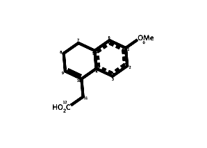 COc1ccc2c(c1)CCC=C2CC(=O)O